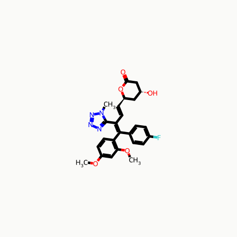 COc1ccc(C(=C(/C=C/[C@@H]2C[C@@H](O)CC(=O)O2)c2nnnn2C)c2ccc(F)cc2)c(OC)c1